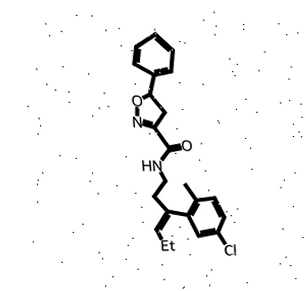 CC/C=C(/CCNC(=O)C1=NOC(c2ccccc2)C1)c1cc(Cl)ccc1C